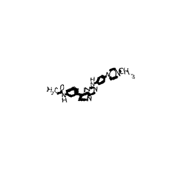 C=CC(=O)Nc1cccc(-c2ccnc3cnc(Nc4ccc(N5CCN(C)CC5)cc4)nc23)c1